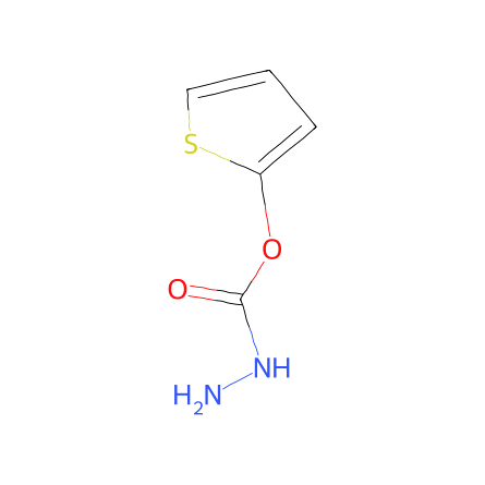 NNC(=O)Oc1cccs1